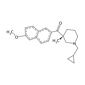 COc1ccc2cc(C(=O)[C@]3(C)CCCN(CC4CC4)C3)ccc2c1